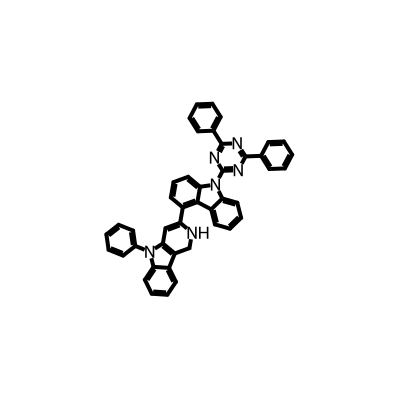 C1=C(c2cccc3c2c2ccccc2n3-c2nc(-c3ccccc3)nc(-c3ccccc3)n2)NCc2c1n(-c1ccccc1)c1ccccc21